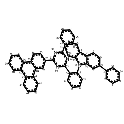 c1ccc(-c2ccc3c4ccccc4n(-c4ccccc4-c4nc(-c5ccccc5)nc(-c5ccc6c7ccccc7c7ccccc7c6c5)n4)c3c2)cc1